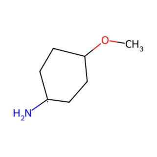 COC1CC[C](N)CC1